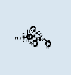 CC(C)(C)c1ccc(N(C(=O)[C@H]2CCCN2)C(C(=O)NCc2cccnc2)c2cccnc2)cc1